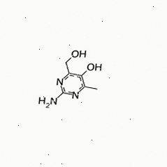 Cc1nc(N)nc(CO)c1O